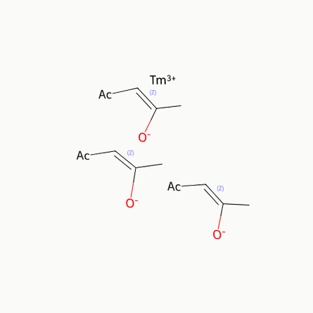 CC(=O)/C=C(/C)[O-].CC(=O)/C=C(/C)[O-].CC(=O)/C=C(/C)[O-].[Tm+3]